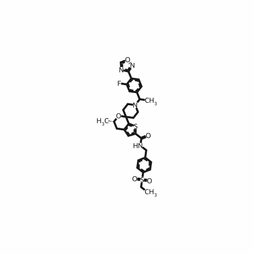 CCS(=O)(=O)c1ccc(CNC(=O)c2cc3c(s2)C2(CCN(C(C)c4ccc(-c5ncon5)c(F)c4)CC2)O[C@@H](C)C3)cc1